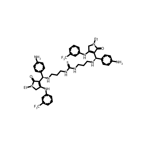 CCN1CC(Nc2cccc(C(F)(F)F)c2)=C([C@H](NCCCNC(=S)NCCCN[C@@H](C2=C(Nc3cccc(C(F)(F)F)c3)CN(CC)C2=O)c2ccc(N)cc2)c2ccc(N)cc2)C1=O